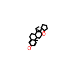 CC12C=CC(=O)C=C1CCC1C2CCC2(C)C1CC[C@@]21CCCC1=O